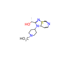 C[C@@H](O)C1=NC23SC=CC2=NC=CC3N1C1CCN(C(=O)O)CC1